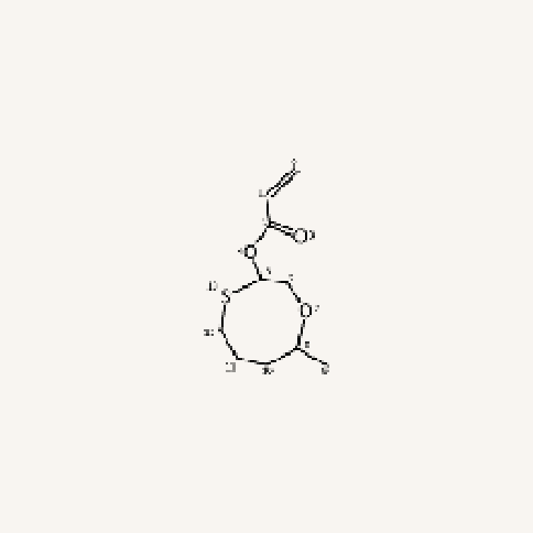 C=CC(=O)OC1COC(C)CCCS1